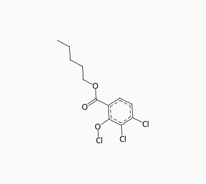 CCCCCOC(=O)c1ccc(Cl)c(Cl)c1OCl